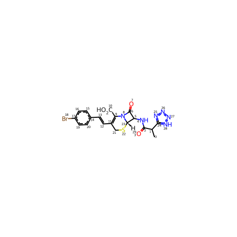 CC(C(=O)NC1C(=O)N2C(C(=O)O)=C(C=Cc3ccc(Br)cc3)CS[C@@H]12)c1nnn[nH]1